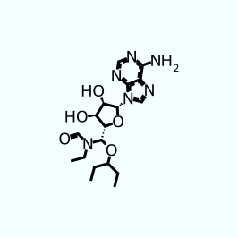 CCC(CC)OC([C@H]1O[C@@H](n2cnc3c(N)ncnc32)[C@H](O)[C@@H]1O)N(C=O)CC